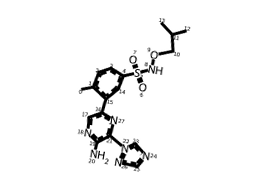 Cc1ccc(S(=O)(=O)NOCC(C)C)cc1-c1cnc(N)c(-n2cncn2)n1